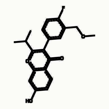 COCc1cc(-c2c(C(C)C)oc3cc(O)ccc3c2=O)ccc1F